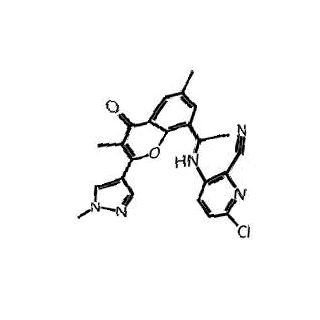 Cc1cc(C(C)Nc2ccc(Cl)nc2C#N)c2oc(-c3cnn(C)c3)c(C)c(=O)c2c1